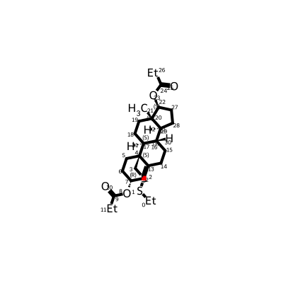 CCSSC[C@]12CC[C@@H](OC(=O)CC)C=C1CC[C@@H]1[C@@H]2CC[C@]2(C)[C@@H](OC(=O)CC)CC[C@@H]12